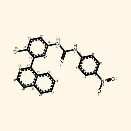 O=[N+]([O-])c1ccc(NC(=S)Nc2ccc(Cl)c(-c3nccc4ccccc34)c2)cc1